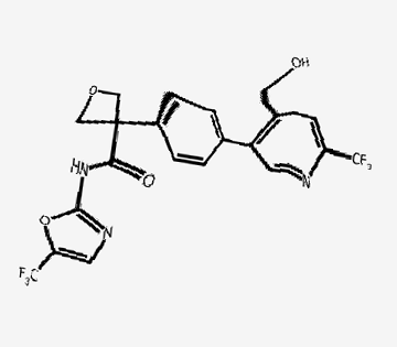 O=C(Nc1ncc(C(F)(F)F)o1)C1(c2ccc(-c3cnc(C(F)(F)F)cc3CO)cc2)COC1